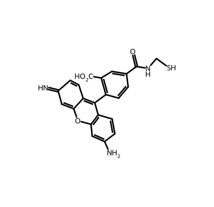 N=c1ccc2c(-c3ccc(C(=O)NCS)cc3C(=O)O)c3ccc(N)cc3oc-2c1